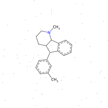 Cc1cccc(C2c3ccccc3C3C2CCCN3C)c1